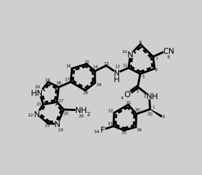 C[C@H](NC(=O)c1cc(C#N)cnc1NCc1ccc(-c2c[nH]c3ncnc(N)c23)cc1)c1ccc(F)cc1